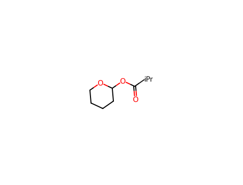 CC(C)C(=O)OC1CCCCO1